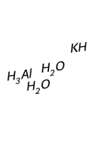 O.O.[AlH3].[KH]